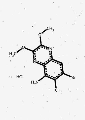 COc1nc2cc(Br)c(C)c(N)c2nc1OC.Cl